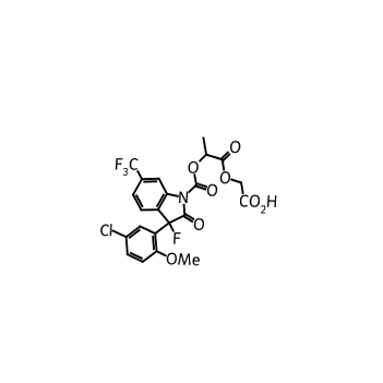 COc1ccc(Cl)cc1C1(F)C(=O)N(C(=O)OC(C)C(=O)OCC(=O)O)c2cc(C(F)(F)F)ccc21